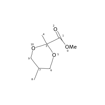 COC(=O)C1(C)OCC(C)CO1